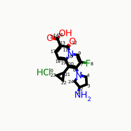 Cl.NC1CCN(c2c(F)cn3c(=O)c(C(=O)O)ccc3c2C2CC2)C1